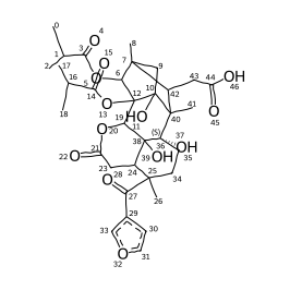 CC(C)C(=O)OC1C2(C)CC3(O)C1(OC(=O)C(C)C)C1OC(=O)CC4C(C)(C(=O)c5ccoc5)CC[C@@](O)(C41O)C3(C)C2CC(=O)O